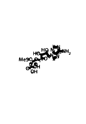 CSOP(=O)(OC[C@H]1O[C@@H](n2cnc3c(N)ncnc32)[C@H](O)[C@@H]1O)OP(=O)(O)O